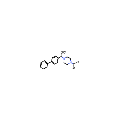 CCC(CC)N1CCN(C(C=O)c2ccc(-c3ccccc3)cc2)CC1